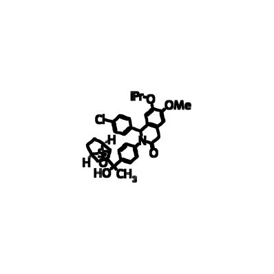 COc1cc2c(cc1OC(C)C)C(c1ccc(Cl)cc1)N(c1ccc(C(C)(O)C3C[C@H]4CC[C@@H](C3)S4(=O)=O)cc1)C(=O)C2